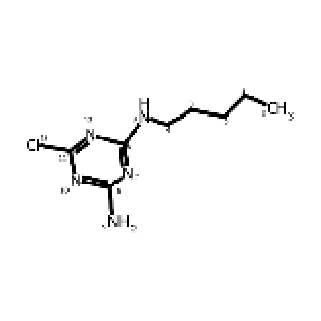 CCCCCNc1nc(N)nc(Cl)n1